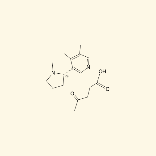 CC(=O)CCC(=O)O.Cc1cncc([C@@H]2CCCN2C)c1C